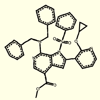 COC(=O)c1cnc(N(Cc2ccccc2)Cc2ccccc2)c2c1cc(-c1cccnc1OC1CC1)n2S(=O)(=O)c1ccccc1